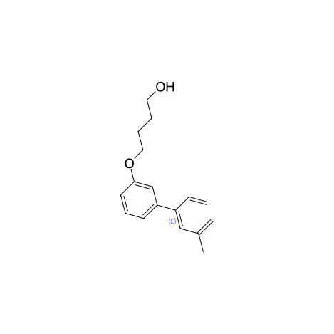 C=C/C(=C\C(=C)C)c1cccc(OCCCCO)c1